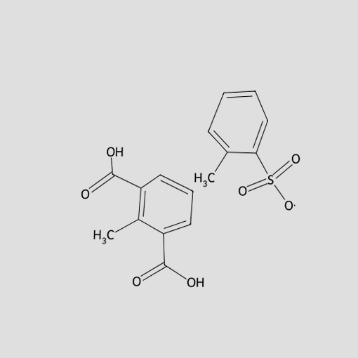 Cc1c(C(=O)O)cccc1C(=O)O.Cc1ccccc1S([O])(=O)=O